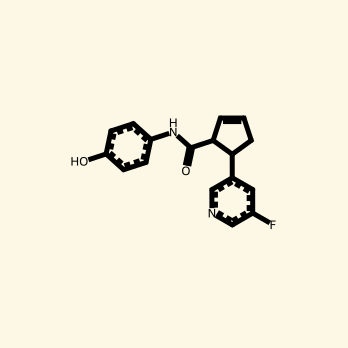 O=C(Nc1ccc(O)cc1)C1C=CCC1c1cncc(F)c1